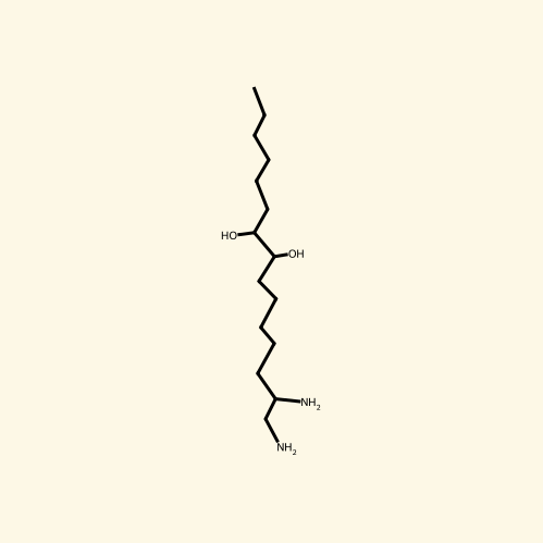 CCCCCCC(O)C(O)CCCCCC(N)CN